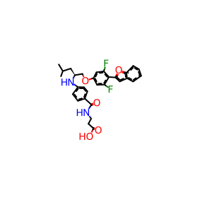 CC(C)C[C@@H](COc1cc(F)c(-c2cc3ccccc3o2)c(F)c1)Nc1ccc(C(=O)NCCC(=O)O)cc1